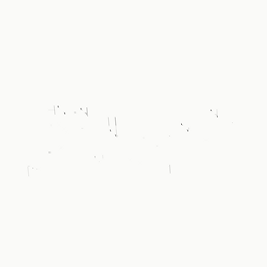 CC1(c2cc(NC(=O)c3n[nH]c4ccc(Br)cc34)ccc2F)CCSC(N)=N1